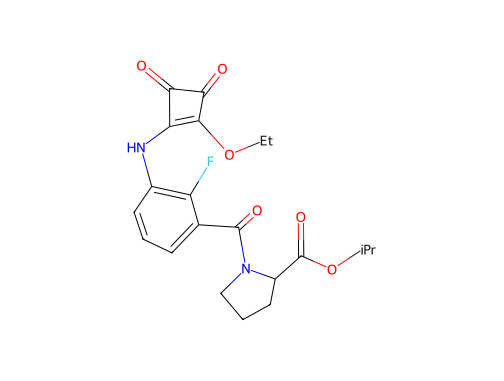 CCOc1c(Nc2cccc(C(=O)N3CCCC3C(=O)OC(C)C)c2F)c(=O)c1=O